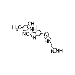 Cc1ccc(Nc2c(C#N)cnc3cc(-c4ccc(CNCCc5c[nH]cn5)o4)ccc23)c(C)c1